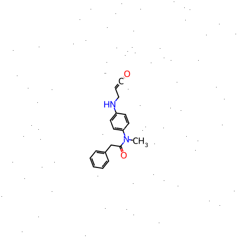 CN(C(=O)Cc1ccccc1)c1ccc(NCC=C=O)cc1